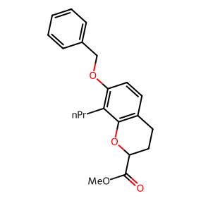 CCCc1c(OCc2ccccc2)ccc2c1OC(C(=O)OC)CC2